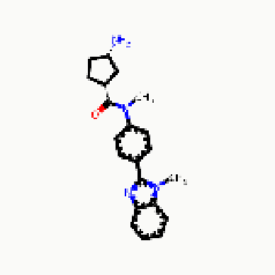 CN(C(=O)[C@@H]1CC[C@H](N)C1)c1ccc(-c2nc3ccccc3n2C)cc1